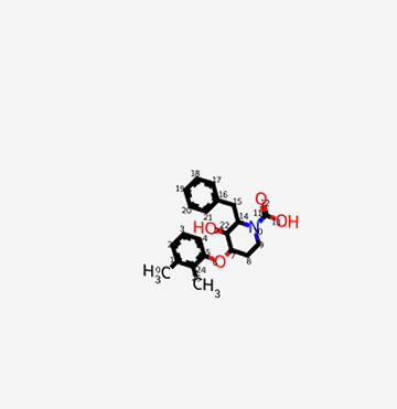 Cc1cccc(OC2CCN(C(=O)O)C(Cc3ccccc3)C2O)c1C